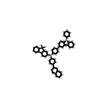 CC1(C)c2ccccc2-c2ccc(N(c3ccc(-c4ccc5ccccc5c4)cc3)c3ccc(-c4ccc5c(c4)c4ccccc4n5-c4ccccc4)cc3)cc21